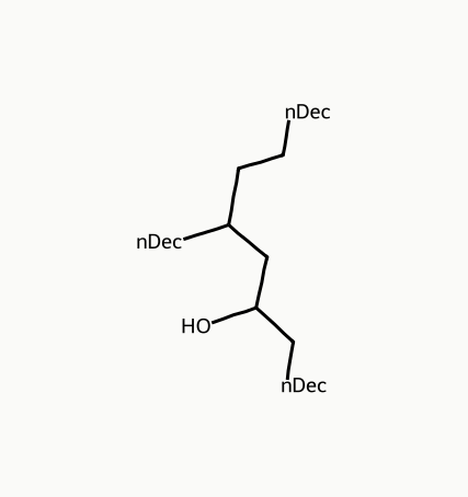 CCCCCCCCCCCCC(CCCCCCCCCC)CC(O)CCCCCCCCCCC